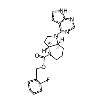 O=C(OCc1ccccc1F)N1CCC[C@@H]2[C@H]1CCN2c1ncnc2[nH]ccc12